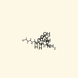 CCCCCCNC(=O)NC(CC(N)=O)C(=O)NC(C)C(=O)O